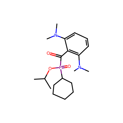 CC(C)OP(=O)(C(=O)c1c(N(C)C)cccc1N(C)C)C1CCCCC1